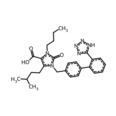 CCCCn1c(C(=O)O)c(CCC(C)C)n(Cc2ccc(-c3ccccc3-c3nnn[nH]3)cc2)c1=O